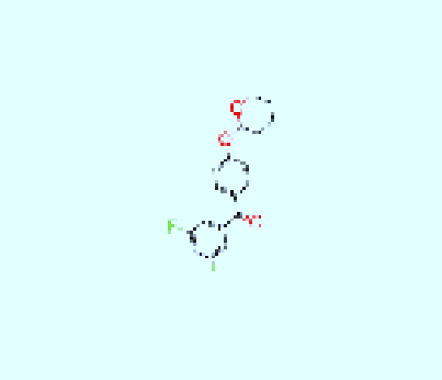 O=C(c1ccc(OC2CCCCO2)cc1)c1cc(F)cc(F)c1